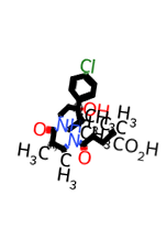 CC(NC(=O)CCC(C)(C)C(=O)O)[C@@H](C)C(=O)N1CC[C@](O)(c2ccc(Cl)cc2)C(C)(C)C1